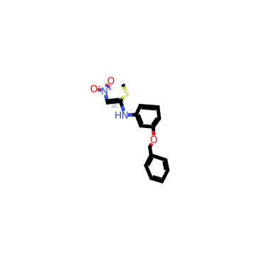 CS/C(=C\[N+](=O)[O-])Nc1cccc(OCc2ccccc2)c1